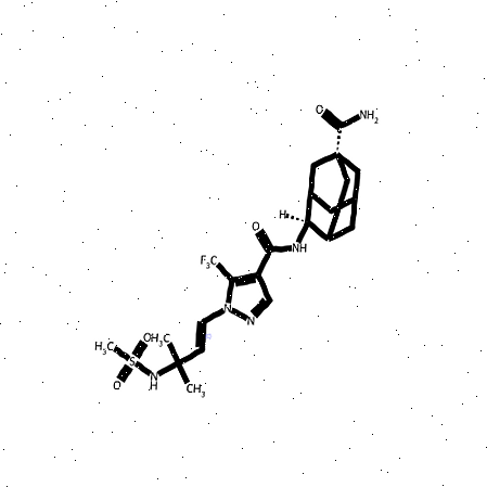 CC(C)(/C=C/n1ncc(C(=O)N[C@H]2C3CC4CC2C[C@](C(N)=O)(C4)C3)c1C(F)(F)F)NS(C)(=O)=O